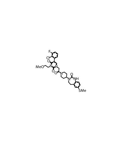 COCCn1c(=O)c(-c2cccc(F)c2Cl)cn(CC(=O)N2CCC(N3CCc4cc(SC)ccc4NC3=O)CC2)c1=O